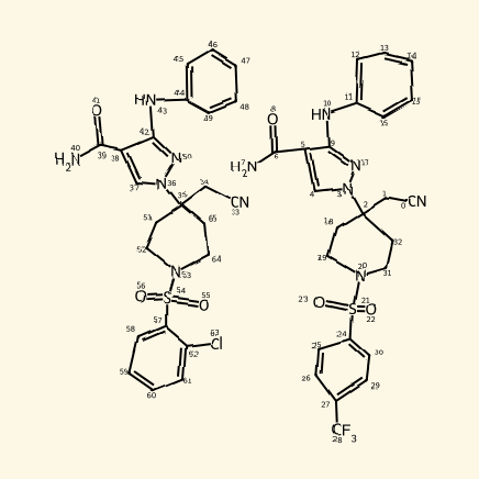 N#CCC1(n2cc(C(N)=O)c(Nc3ccccc3)n2)CCN(S(=O)(=O)c2ccc(C(F)(F)F)cc2)CC1.N#CCC1(n2cc(C(N)=O)c(Nc3ccccc3)n2)CCN(S(=O)(=O)c2ccccc2Cl)CC1